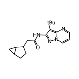 CC(C)(C)c1c(NC(=O)CC2CCC3CC23)nn2cccnc12